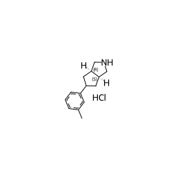 Cc1cccc(C2C[C@H]3CNC[C@H]3C2)c1.Cl